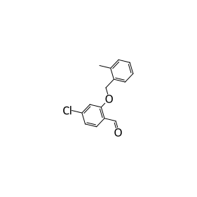 Cc1ccccc1COc1cc(Cl)ccc1C=O